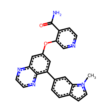 Cn1ccc2ccc(-c3cc(Oc4cnccc4C(N)=O)cc4nccnc34)cc21